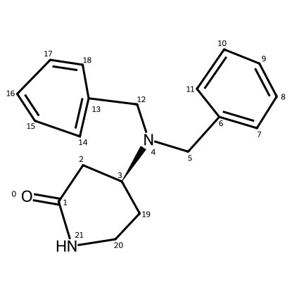 O=C1C[C@@H](N(Cc2ccccc2)Cc2ccccc2)CCN1